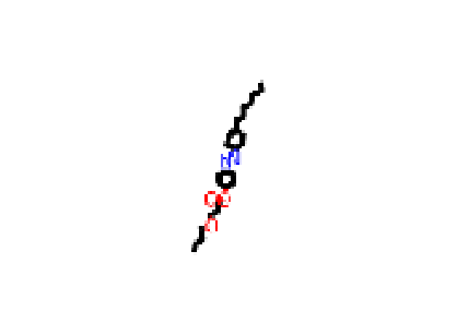 CCCCCCCc1ccc(/N=N/c2ccc(OC(=O)CCOCCCC)cc2)cc1